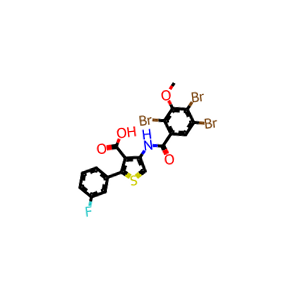 COc1c(Br)c(Br)cc(C(=O)Nc2csc(-c3cccc(F)c3)c2C(=O)O)c1Br